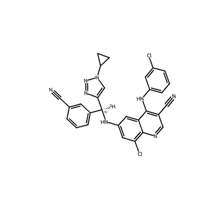 [2H][C@](Nc1cc(Cl)c2ncc(C#N)c(Nc3cccc(Cl)c3)c2c1)(c1cccc(C#N)c1)c1cn(C2CC2)nn1